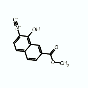 [C-]#[N+]c1ccc2ccc(C(=O)OC)cc2c1O